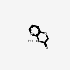 Cl.O=C1COc2cccnc2N1